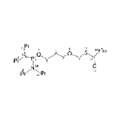 CC(C)N(C(C)C)P(OCCCOCSC(=O)C(C)(C)C)N(C(C)C)C(C)C